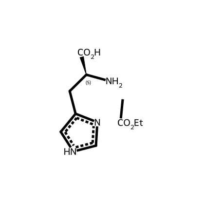 CCOC(C)=O.N[C@@H](Cc1c[nH]cn1)C(=O)O